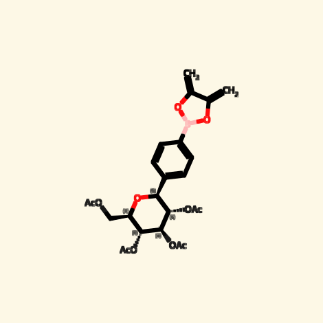 C=C1OB(c2ccc([C@@H]3O[C@H](COC(C)=O)[C@@H](OC(C)=O)[C@H](OC(C)=O)[C@H]3OC(C)=O)cc2)OC1=C